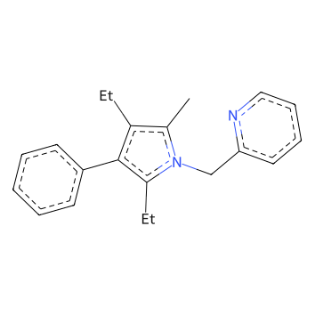 CCc1c(-c2ccccc2)c(CC)n(Cc2ccccn2)c1C